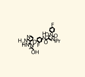 CC(C)n1cc(C(=O)Nc2ccc(Oc3ccnc(N)c3C(=N)N(C)[C@H](C)CO)c(F)c2)c(=O)n(-c2ccc(F)cc2)c1=O